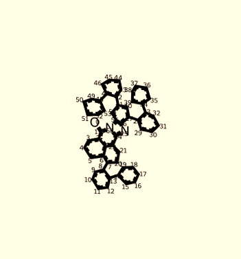 O=c1c2cccc3c(-c4ccccc4-c4ccccc4)ccc(c32)c2nc3c(-c4ccccc4-c4ccccc4)cc(-c4ccccc4-c4ccccc4)cc3n12